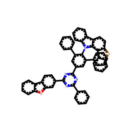 c1ccc(-c2nc(-c3cc(-c4ccccc4)c(-n4c5ccccc5c5ccc6sc7ccccc7c6c54)c(-c4ccccc4)c3)nc(-c3ccc4c(c3)oc3ccccc34)n2)cc1